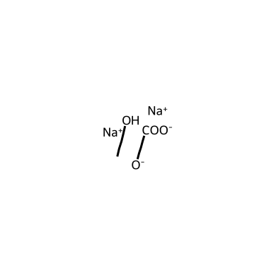 CO.O=C([O-])[O-].[Na+].[Na+]